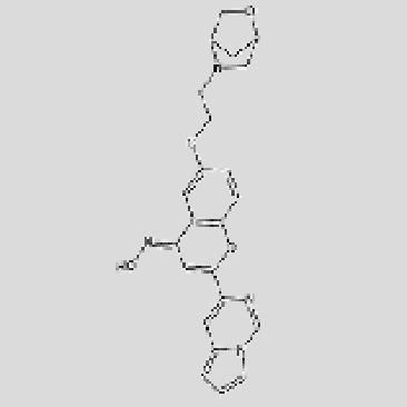 ON=c1cc(-c2cc3cccn3cn2)oc2ccc(OCCN3CC4CC3CO4)cc12